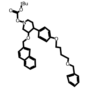 CC(C)(C)OC(=O)ON1CCC(c2ccc(OCCCCOCc3ccccc3)cc2)C(OCc2ccc3ccccc3c2)C1